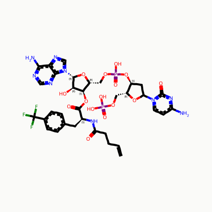 C=CCCC(=O)N[C@@H](Cc1ccc(C(F)(F)F)cc1)C(=O)O[C@H]1[C@@H](O)[C@H](n2cnc3c(N)ncnc32)O[C@@H]1COP(=O)(O)O[C@H]1CC(n2ccc(N)nc2=O)O[C@@H]1COP(=O)(O)O